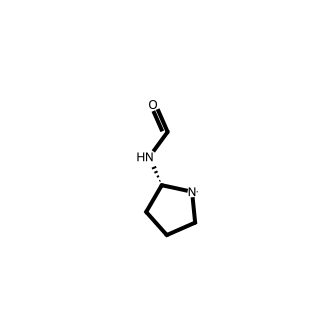 O=CN[C@H]1CCC[N]1